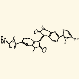 CC1C(=O)/C(=C2/C(=O)N(C)c3cc(-c4ccc(Br)s4)ccc32)c2ccc(-c3ccc(Br)s3)cc21